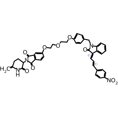 C=C1CCC(N2C(=O)c3ccc(OCCOCCOc4ccc(CN5C(=O)/C(=C/C=C/c6ccc([N+](=O)[O-])cc6)c6ccccc65)cc4)cc3C2=O)C(=O)N1